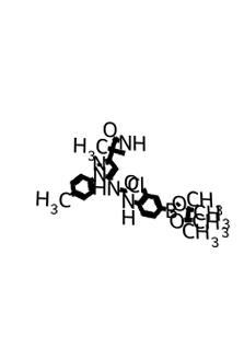 Cc1ccc(-n2nc(C3(C)CNC3=O)cc2NC(=O)Nc2ccc(B3OC(C)(C)C(C)(C)O3)cc2Cl)cc1